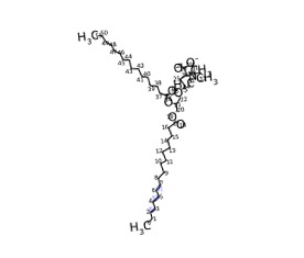 CC/C=C/C=C/C=C/CCCCCCCCCC(=O)OCC(COCCC(C(=O)[O-])[N+](C)(C)C)OC(=O)CCCCCCCCCCCCCCC